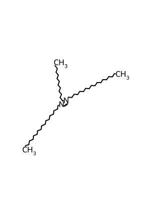 CCCCCCCCCCCCCCCCCCN1C=CN(CCCCCCCCCCCCCCCCCC)C1CCCCCCCCCCCC